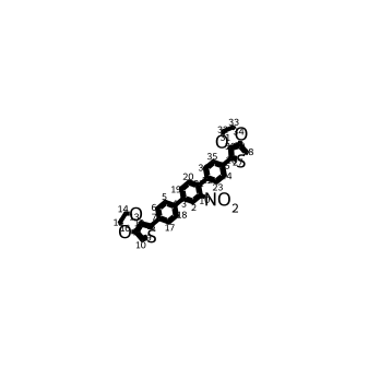 O=[N+]([O-])c1cc(-c2ccc(-c3scc4c3OCCO4)cc2)ccc1-c1ccc(-c2scc3c2OCCO3)cc1